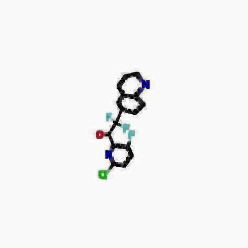 O=C(c1nc(Cl)ccc1F)C(F)(F)c1ccc2ncccc2c1